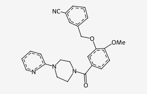 COc1ccc(C(=O)N2CCN(c3ccccn3)CC2)cc1OCc1cccc(C#N)c1